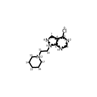 Clc1ncnc2c1cnn2CCN1CCCCC1